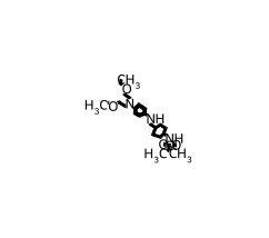 CCOCCN(CCOCC)c1ccc(NCC2CCC(NS(=O)(=O)C(C)C)CC2)cc1